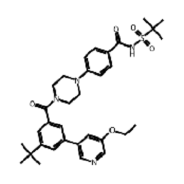 CCOc1cncc(-c2cc(C(=O)N3CCN(c4ccc(C(=O)NS(=O)(=O)C(C)(C)C)cc4)CC3)cc(C(C)(C)C)c2)c1